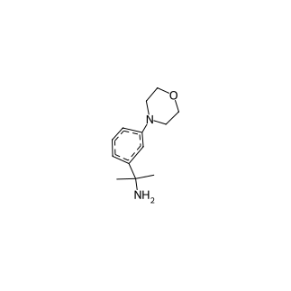 CC(C)(N)c1cccc(N2CCOCC2)c1